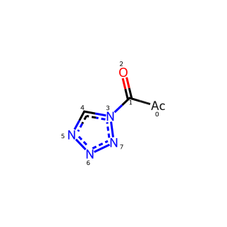 CC(=O)C(=O)n1cnnn1